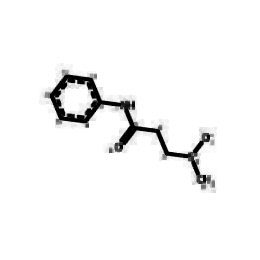 C[S+]([O-])CCC(=O)Nc1ccccc1